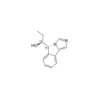 CC[C@H](O)[C@H]1c2ccccc2-c2cncn21